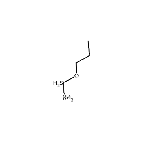 CCCO[SiH2]N